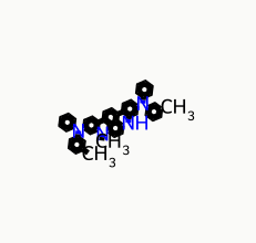 Cc1cccc(N(c2ccccc2)c2ccc3c(c2)Nc2ccc4c5c(ccc-3c25)-c2ccc(N(c3ccccc3)c3cccc(C)c3)cc2N4C)c1